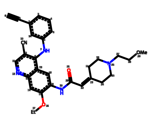 C#Cc1cccc(Nc2c(C#N)cnc3cc(OCC)c(NC(=O)C=C4CCN(CCOC)CC4)cc23)c1